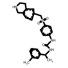 Cc1c#ccc(C(C)NC(=O)Nc2ccc(S(=O)(=O)Cc3ccc4c(c3)CCNC4)cc2)c1